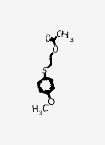 COc1ccc(SCCOC(C)=O)cc1